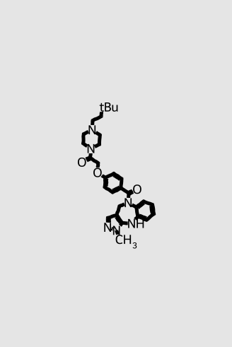 Cn1ncc2c1Nc1ccccc1N(C(=O)c1ccc(OCC(=O)N3CCN(CCC(C)(C)C)CC3)cc1)C2